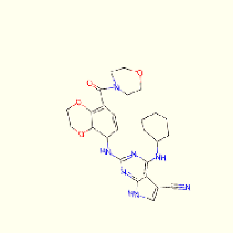 N#Cc1c[nH]c2nc(NC3C=CC(C(=O)N4CCOCC4)=C4OCCOC43)nc(NC3CCCCC3)c12